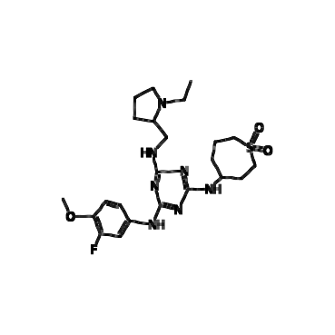 CCN1CCCC1CNc1nc(Nc2ccc(OC)c(F)c2)nc(NC2CCCS(=O)(=O)CC2)n1